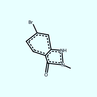 Cn1[nH]c2cc(Br)ccc2c1=O